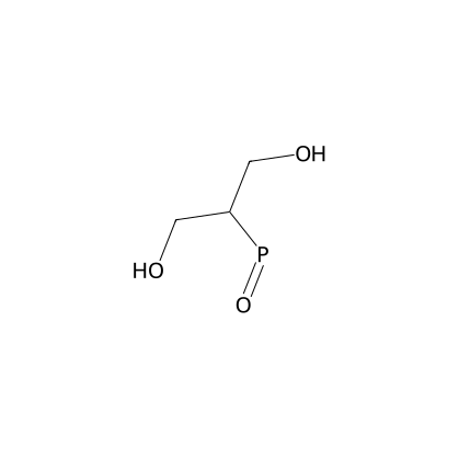 O=PC(CO)CO